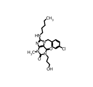 CCCCCNc1nc2c(c(=O)n(CCCO)c(=O)n2C)n1Cc1ccc(Cl)cc1